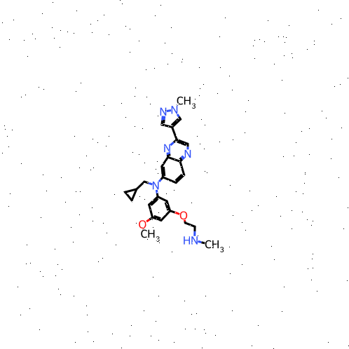 CNCCOc1cc(OC)cc(N(CC2CC2)c2ccc3ncc(-c4cnn(C)c4)nc3c2)c1